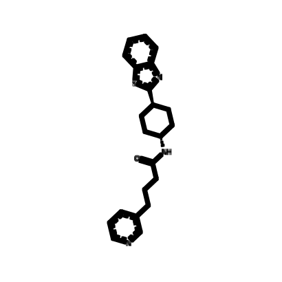 O=C(CCCc1cccnc1)N[C@H]1CC[C@H](c2nc3ccccc3s2)CC1